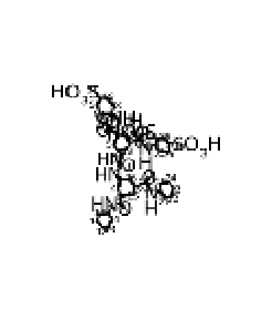 O=C(Nc1cc(C(=O)Nc2ccccc2)cc(C(=O)Nc2ccccc2)c1)Nc1cc(C(=O)Nc2ccc(S(=O)(=O)O)cc2S(=O)(=O)O)cc(C(=O)Nc2ccc(S(=O)(=O)O)cc2S(=O)(=O)O)c1